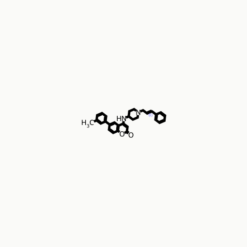 Cc1cccc(-c2ccc3oc(=O)cc(NC4CCN(C/C=C/c5ccccc5)CC4)c3c2)c1